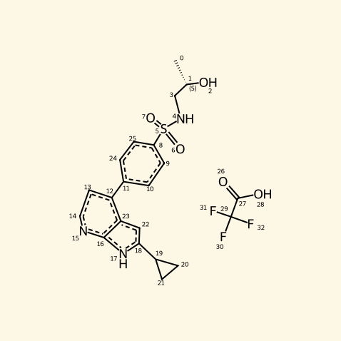 C[C@H](O)CNS(=O)(=O)c1ccc(-c2ccnc3[nH]c(C4CC4)cc23)cc1.O=C(O)C(F)(F)F